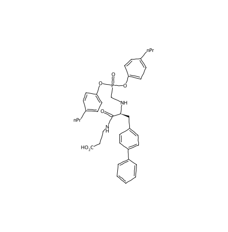 CCCc1ccc(OP(=O)(CN[C@@H](Cc2ccc(-c3ccccc3)cc2)C(=O)NCCC(=O)O)Oc2ccc(CCC)cc2)cc1